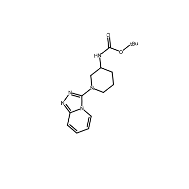 CC(C)(C)OC(=O)NC1CCCN(c2nnc3ccccn23)C1